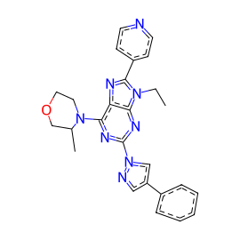 CCn1c(-c2ccncc2)nc2c(N3CCOCC3C)nc(-n3cc(-c4ccccc4)cn3)nc21